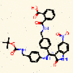 CC(C)(C)OC(=O)NCc1ccc(N/C(=C2\C(=O)Nc3ccc([N+](=O)[O-])cc32)c2ccc(CNC(=O)c3ccccc3C(=O)O)cc2)cc1